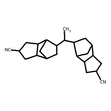 C[C](C1CC2CC1C1CC(C#N)CC21)C1CC2CC1C1CC(C#N)CC21